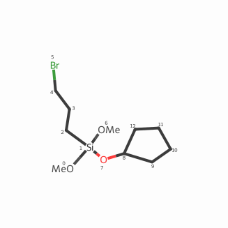 CO[Si](CCCBr)(OC)OC1CCCC1